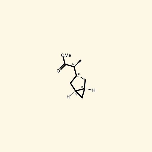 COC(=O)[C@@H](C)[C@@H]1C[C@H]2C[C@H]2C1